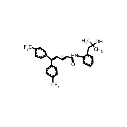 CC(C)(O)Cc1ccccc1NC(=O)/C=C/C=C(c1ccc(C(F)(F)F)cc1)c1ccc(C(F)(F)F)cc1